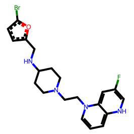 FC1=CNC2=CC=CN(CCN3CCC(NCc4ccc(Br)o4)CC3)C2=C1